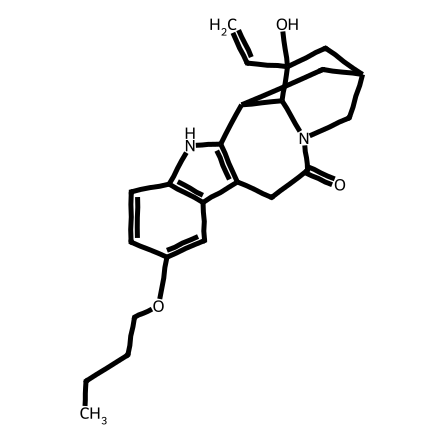 C=CC1(O)CC2CC3c4[nH]c5ccc(OCCCC)cc5c4CC(=O)N(C2)C31